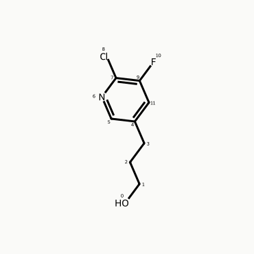 OCCCc1cnc(Cl)c(F)c1